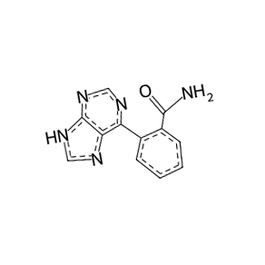 NC(=O)c1ccccc1-c1ncnc2[nH]cnc12